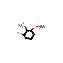 CNOc1cccc(F)c1C(=O)O